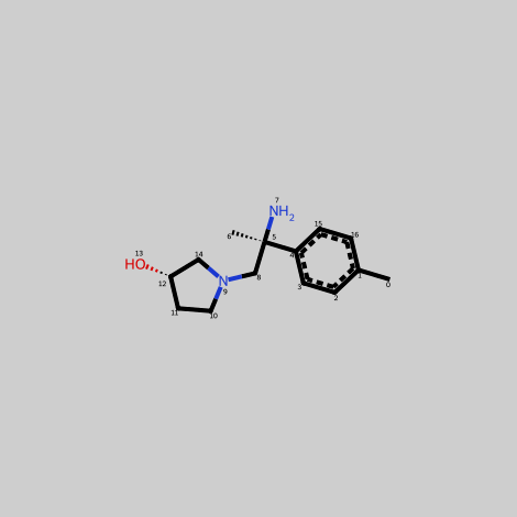 Cc1ccc([C@](C)(N)CN2CC[C@H](O)C2)cc1